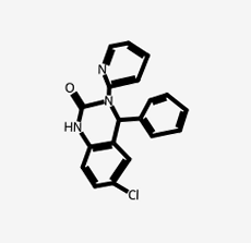 O=C1Nc2ccc(Cl)cc2C(c2ccccc2)N1c1ccccn1